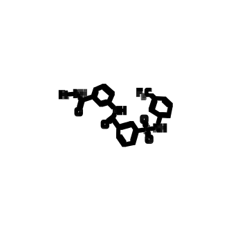 CCNC(=O)c1cccc(NC(=O)c2cccc(S(=O)(=O)Nc3cccc(C(F)(F)F)c3)c2)c1